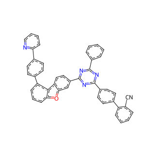 N#Cc1ccccc1-c1ccc(-c2nc(-c3ccccc3)nc(-c3ccc4c(c3)oc3cccc(-c5ccc(-c6ccccn6)cc5)c34)n2)cc1